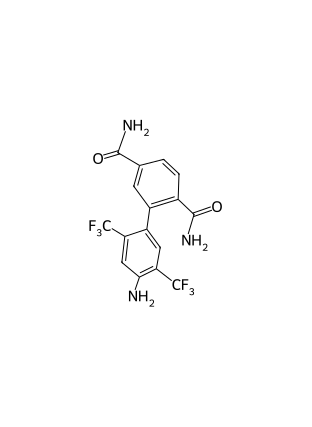 NC(=O)c1ccc(C(N)=O)c(-c2cc(C(F)(F)F)c(N)cc2C(F)(F)F)c1